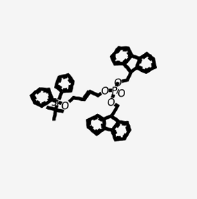 CC(C)(C)[Si](OCC=CCOP(=O)(OCC1c2ccccc2-c2ccccc21)OCC1c2ccccc2-c2ccccc21)(c1ccccc1)c1ccccc1